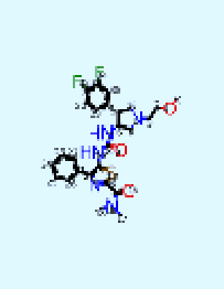 COCCN1C[C@@H](NC(=O)Nc2sc(C(=O)N(C)C)nc2-c2ccccc2)[C@H](c2ccc(F)c(F)c2)C1